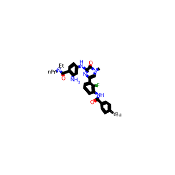 CCCN(CC)C(=O)c1ccc(Nc2nc(-c3cccc(NC(=O)c4ccc(C(C)(C)C)cc4)c3F)cn(C)c2=O)cc1N